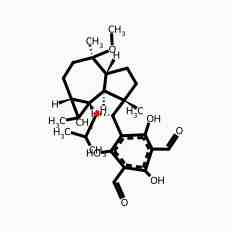 CO[C@]1(C)CC[C@@H]2[C@H]([C@H]3[C@H]1CC[C@]3(C)[C@@H](CC(C)C)c1c(O)c(C=O)c(O)c(C=O)c1O)C2(C)C